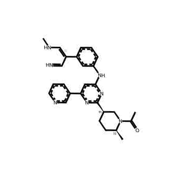 CN/C=C(\C=N)c1cccc(Nc2cc(-c3cccnc3)nc([C@@H]3CC[C@H](C)N(C(C)=O)C3)n2)c1